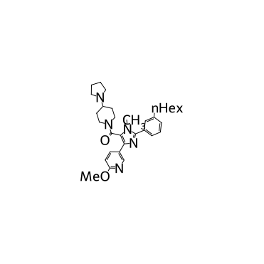 CCCCCCc1cccc(-c2nc(-c3ccc(OC)nc3)c(C(=O)N3CCC(N4CCCC4)CC3)n2C)c1